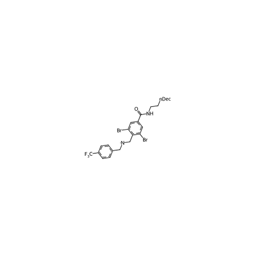 CCCCCCCCCCCCNC(=O)c1cc(Br)c(C[N]Cc2ccc(C(F)(F)F)cc2)c(Br)c1